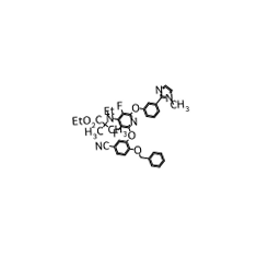 CCOC(=O)C(C)(C)N(CC)c1c(F)c(Oc2cccc(-c3nccn3C)c2)nc(Oc2cc(C#N)ccc2OCc2ccccc2)c1F